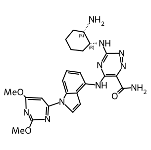 COc1cc(-n2ccc3c(Nc4nc(N[C@@H]5CCCC[C@@H]5N)nnc4C(N)=O)cccc32)nc(OC)n1